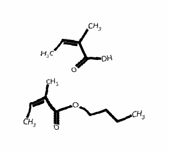 CC=C(C)C(=O)O.CC=C(C)C(=O)OCCCC